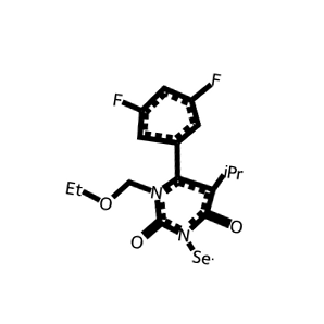 CCOCn1c(-c2cc(F)cc(F)c2)c(C(C)C)c(=O)n([Se])c1=O